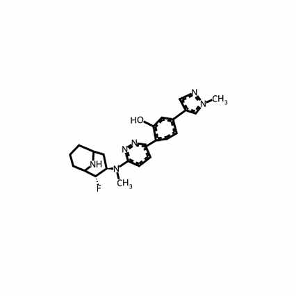 CN(c1ccc(-c2ccc(-c3cnn(C)c3)cc2O)nn1)[C@@H]1CC2CCCC(N2)[C@H]1F